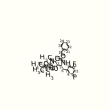 CN(C[C@@H](O)[C@H](Cc1cc(F)cc(F)c1)NC(=O)OCc1ccccc1)C(=O)OC(C)(C)C